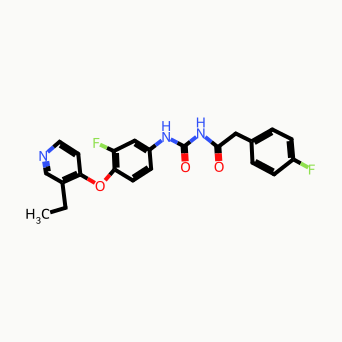 CCc1cnccc1Oc1ccc(NC(=O)NC(=O)Cc2ccc(F)cc2)cc1F